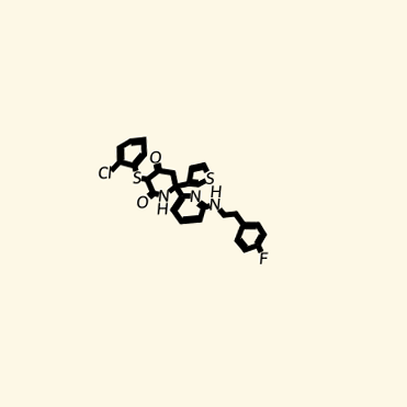 O=C1CC(c2ccsc2)(c2cccc(NCCc3ccc(F)cc3)n2)NC(=O)C1Sc1ccccc1Cl